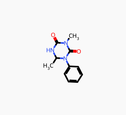 CC1NC(=O)N(C)C(=O)N1c1ccccc1